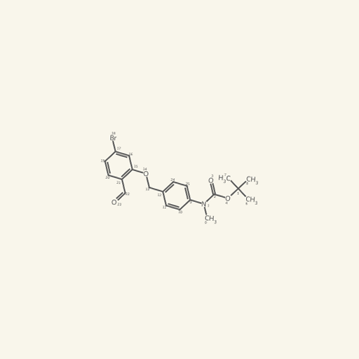 CN(C(=O)OC(C)(C)C)c1ccc(COc2cc(Br)ccc2C=O)cc1